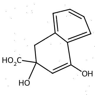 O=C(O)C1(O)C=C(O)c2ccccc2C1